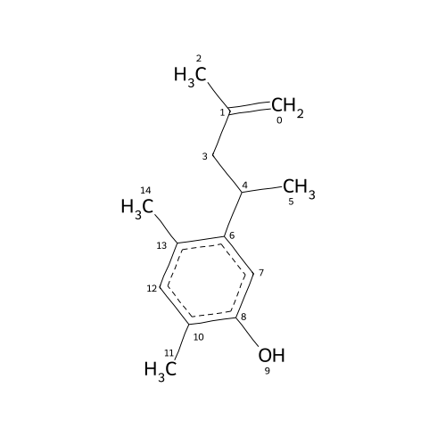 C=C(C)CC(C)c1cc(O)c(C)cc1C